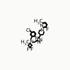 Cc1ccc(F)c(N2CCC(c3nnc4n3-c3ccc(Cl)cc3CN(C3(C)CC(F)(F)C3)C4)CC2)n1